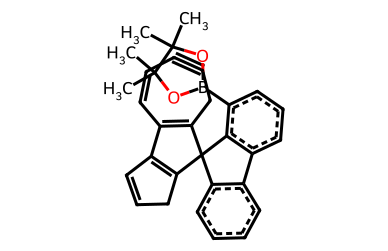 CC1(C)OB(c2cccc3c2C2(C4=C(C=CC#CC4)C4=C2CC=C4)c2ccccc2-3)OC1(C)C